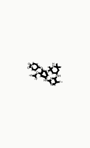 CC1(C)CC(Nc2nc(Nc3ccc(OC4CCS(=O)(=O)CC4)c(OC(F)F)c3)ncc2F)CC(C)(C)N1